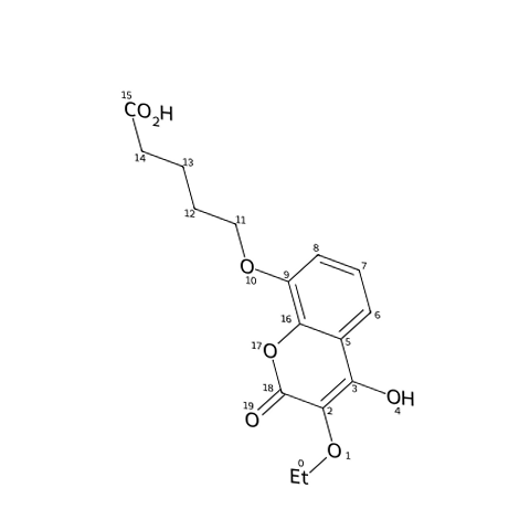 CCOc1c(O)c2cccc(OCCCCC(=O)O)c2oc1=O